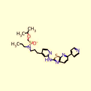 CCCN(CCCc1ccnc(Nc2nc3ccc(-c4ccncc4)nc3s2)c1)[S+]([O-])COC(C)C